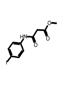 COC(=O)CC(=O)Nc1ccc(I)cc1